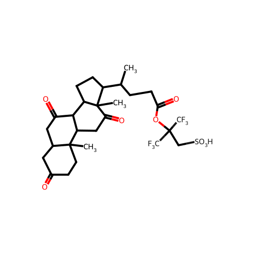 CC(CCC(=O)OC(CS(=O)(=O)O)(C(F)(F)F)C(F)(F)F)C1CCC2C3C(=O)CC4CC(=O)CCC4(C)C3CC(=O)C12C